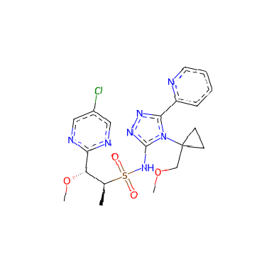 COCC1(n2c(NS(=O)(=O)[C@@H](C)[C@H](OC)c3ncc(Cl)cn3)nnc2-c2ccccn2)CC1